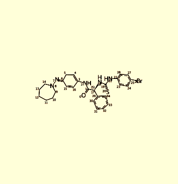 O=C(NC1=CCC(=NN2CCCCCC2)C=C1)[C@@H](NC(=S)Nc1ccc(Br)cc1)c1ccccc1